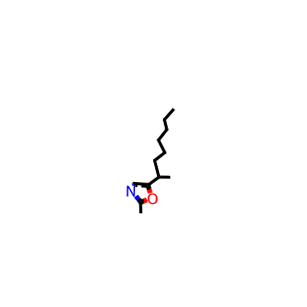 CCCCCCC(C)c1cnc(C)o1